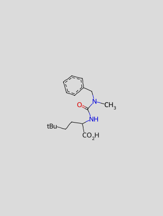 CN(Cc1ccccc1)C(=O)NC(CCC(C)(C)C)C(=O)O